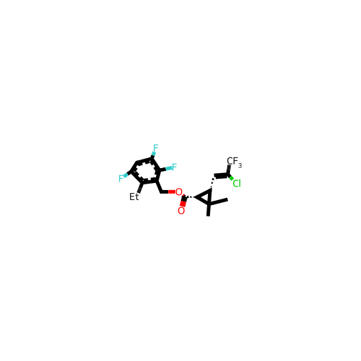 CCc1c(F)cc(F)c(F)c1COC(=O)[C@@H]1[C@H](/C=C(\Cl)C(F)(F)F)C1(C)C